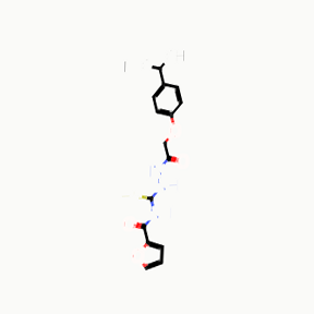 CC(C)c1ccc(OCC(=O)NNC(S)NC(=O)c2ccco2)cc1